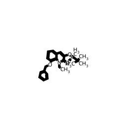 CCn1c(=O)c(O[Si](C)(C)C(C)(C)C)cc2cccc(OCc3ccccc3)c21